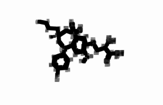 CCCC[C@]1(C)CN(c2ccc(F)cc2)c2cc(SC)c(OC[C@@H](O)C(=O)O)cc2S(=O)(=O)C1